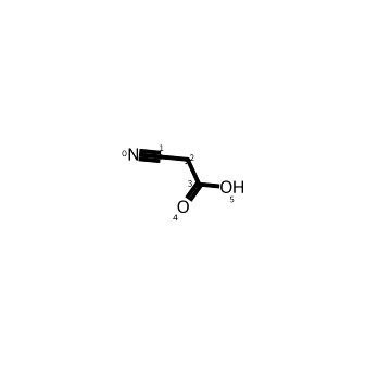 N#C[C]C(=O)O